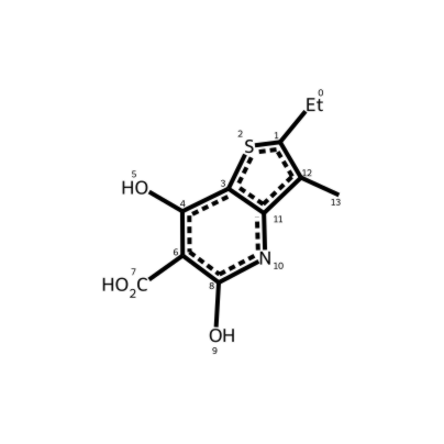 CCc1sc2c(O)c(C(=O)O)c(O)nc2c1C